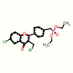 CCOP(=O)(Cc1ccc(-c2oc3ccc(Cl)cc3c(=O)c2CBr)cc1)OCC